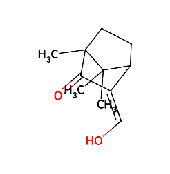 CC12CCC(/C(=C/O)C1=O)C2(C)C